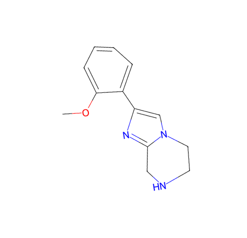 COc1ccccc1-c1cn2c(n1)CNCC2